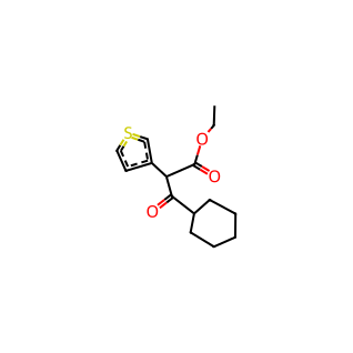 CCOC(=O)C(C(=O)C1CCCCC1)c1ccsc1